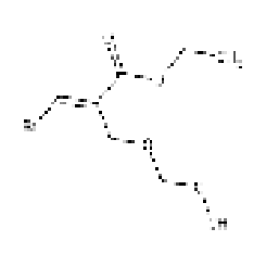 CCOC(=O)/C(=C/Br)COCOC